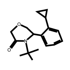 CC(C)(C)N1C(=O)COCC1c1ccccc1C1CC1